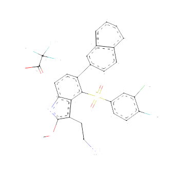 COc1[nH]c2ccc(-c3ccc4ccccc4c3)c(S(=O)(=O)c3ccc(F)c(Cl)c3)c2c1CCN.O=C(O)C(F)(F)F